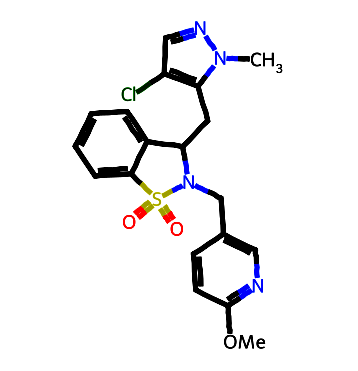 COc1ccc(CN2C(Cc3c(Cl)cnn3C)c3ccccc3S2(=O)=O)cn1